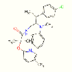 CC(c1ccc(Cl)cc1)C(CNC(=O)C(C)(C)Oc1ccc(C(F)(F)F)cn1)N(C)c1ccccc1